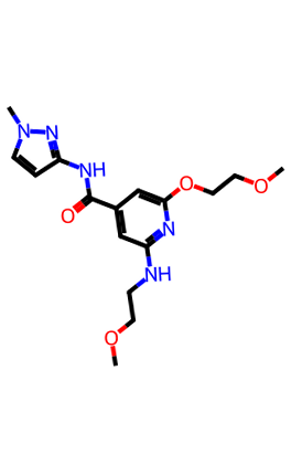 COCCNc1cc(C(=O)Nc2ccn(C)n2)cc(OCCOC)n1